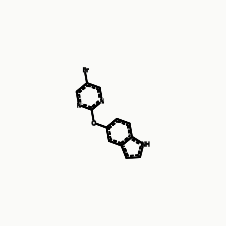 Brc1cnc(Oc2ccc3[nH]ccc3c2)nc1